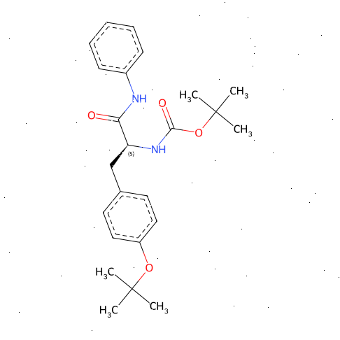 CC(C)(C)OC(=O)N[C@@H](Cc1ccc(OC(C)(C)C)cc1)C(=O)Nc1ccccc1